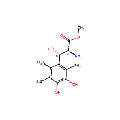 Bc1c(B)c([C@H](O)[C@H](N)C(=O)OC)c(B)c(O)c1O